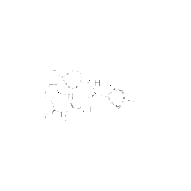 CN1C(=O)C2COCC2(c2cc(NC(=O)c3ccc(C(F)(F)F)cn3)ccc2F)N=C1N